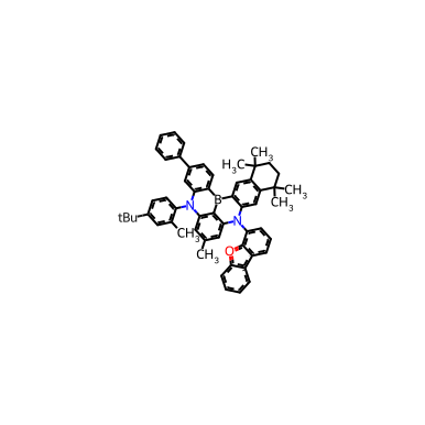 Cc1cc2c3c(c1)N(c1cccc4c1oc1ccccc14)c1cc4c(cc1B3c1ccc(-c3ccccc3)cc1N2c1ccc(C(C)(C)C)cc1C)C(C)(C)CCC4(C)C